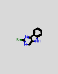 Brc1ncc2[nH]c3ccccc3c2n1